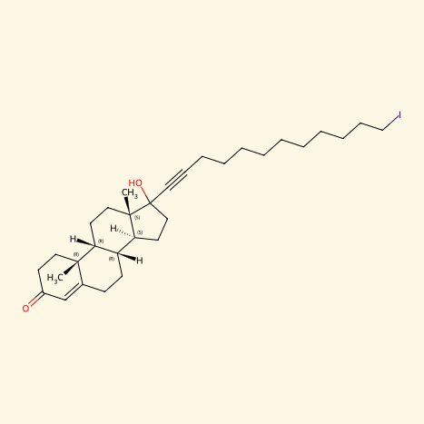 C[C@]12CCC(=O)C=C1CC[C@@H]1[C@H]2CC[C@@]2(C)[C@H]1CCC2(O)C#CCCCCCCCCCCI